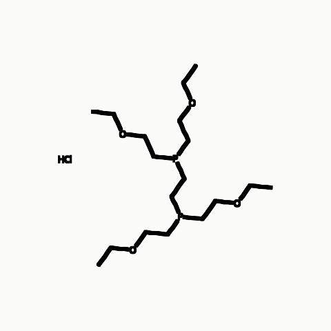 CCOCCP(CCOCC)CCP(CCOCC)CCOCC.Cl